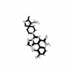 CC1OCC2(CCN(c3nc(C(N)=O)c(-c4cccc(Cl)c4Cl)c4ncnn34)CC2)[C@@H]1N